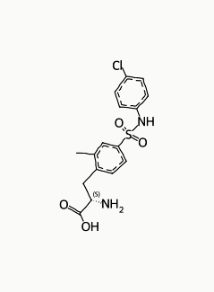 Cc1cc(S(=O)(=O)Nc2ccc(Cl)cc2)ccc1C[C@H](N)C(=O)O